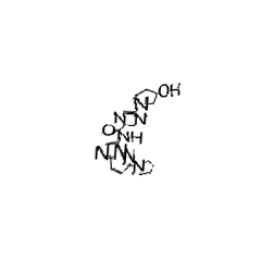 O=C(Nc1cnc2ccc(N3CCCC3)nn12)c1cnc(N2CCC(O)C2)cn1